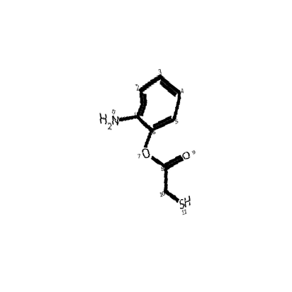 Nc1ccccc1OC(=O)CS